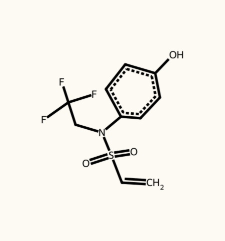 C=CS(=O)(=O)N(CC(F)(F)F)c1ccc(O)cc1